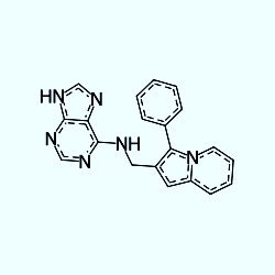 c1ccc(-c2c(CNc3ncnc4[nH]cnc34)cc3ccccn23)cc1